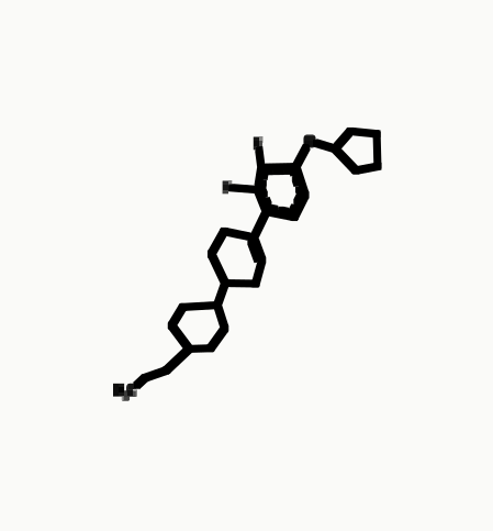 CCCC1CCC(C2CC=C(c3ccc(OC4CCCC4)c(F)c3F)CC2)CC1